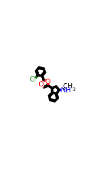 CNC1CC(C2=COC(c3ccccc3Cl)O2)c2ccccc21